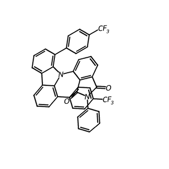 O=C1c2cccc(-n3c4c(-c5ccc(C(F)(F)F)cc5)cccc4c4cccc(-c5ccc(C(F)(F)F)cc5)c43)c2C(=O)N1c1ccccc1